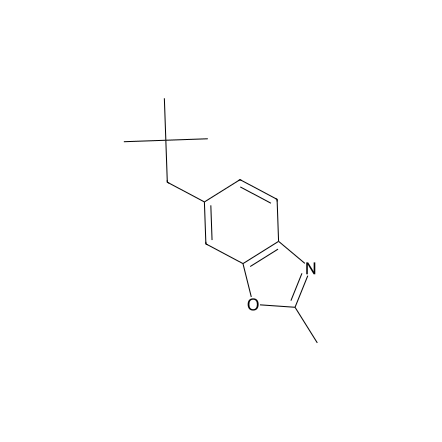 Cc1nc2ccc(CC(C)(C)C)cc2o1